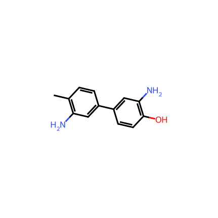 Cc1ccc(-c2ccc(O)c(N)c2)cc1N